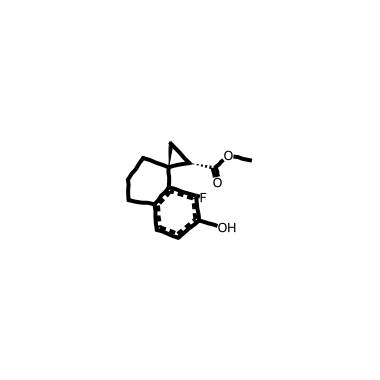 COC(=O)[C@H]1C[C@@]12CCCc1ccc(O)c(F)c12